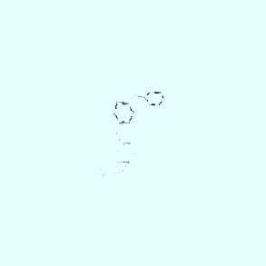 CC(C)(C)C1(CC#N)CCN(Cc2ccc(Oc3ccccc3)cc2)CC1